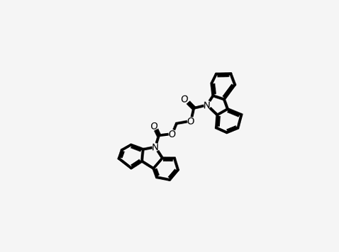 O=C(OCOC(=O)n1c2ccccc2c2ccccc21)n1c2ccccc2c2ccccc21